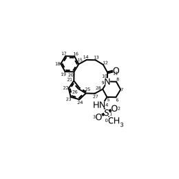 CS(=O)(=O)NC1CCCN2C(=O)CCCc3ccccc3-c3cccc(c3)CC12